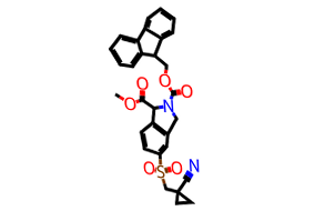 COC(=O)C1c2ccc(S(=O)(=O)CC3(C#N)CC3)cc2CN1C(=O)OCC1c2ccccc2-c2ccccc21